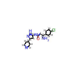 N[C@H](CC(=O)Nc1cc(-c2ccncc2)n[nH]1)c1ccc(Cl)cc1